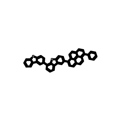 c1ccc(-c2ccc3ccc4c(-c5ccc6oc7c(-c8ccc9oc%10ccccc%10c9c8)cccc7c6c5)ccc5ccc2c3c54)cc1